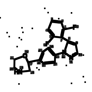 Fc1cccc(F)c1-c1ccnn1-c1ccc(C2CNCCO2)cc1